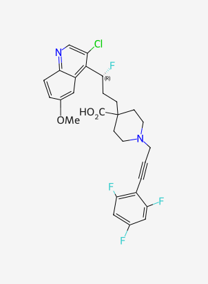 COc1ccc2ncc(Cl)c([C@H](F)CCC3(C(=O)O)CCN(CC#Cc4c(F)cc(F)cc4F)CC3)c2c1